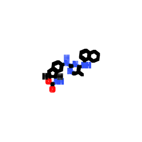 Cc1cnc(Nc2ccc3c(c2)[C@@H]2NC(=O)O[C@@H]2C3)nc1Nc1cccc2c1CCCC2